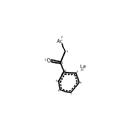 CC(=O)CC(=O)c1ccccc1.[La]